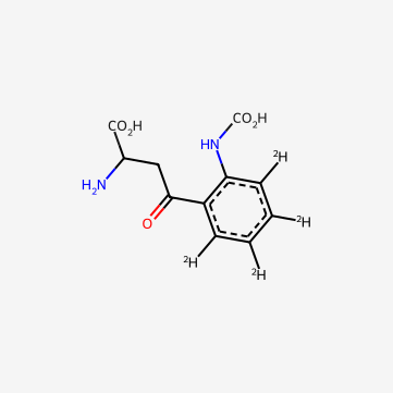 [2H]c1c([2H])c([2H])c(C(=O)CC(N)C(=O)O)c(NC(=O)O)c1[2H]